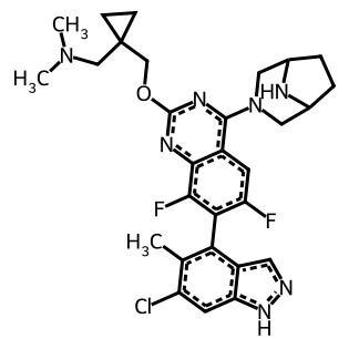 Cc1c(Cl)cc2[nH]ncc2c1-c1c(F)cc2c(N3CC4CCC(C3)N4)nc(OCC3(CN(C)C)CC3)nc2c1F